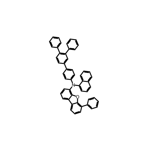 c1ccc(-c2ccc(-c3ccc(N(c4cccc5ccccc45)c4cccc5c4oc4c(-c6ccccc6)cccc45)cc3)cc2-c2ccccc2)cc1